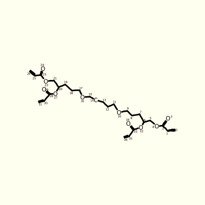 C=CC(=O)OCC(CCCOCCCCCOCCCC(COC(=O)C=C)OC(=O)C=C)OC(=O)C=C